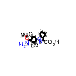 COc1cc(-n2nc(C(=O)O)c3ccccc32)c(C(C)(C)C)cc1C(N)=O